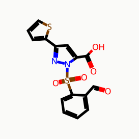 O=Cc1ccccc1S(=O)(=O)n1nc(-c2cccs2)cc1C(=O)O